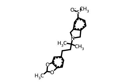 CC1Oc2ccc(CCC(C)(C)N3Cc4ccc([S+](C)[O-])cc4C3)cc2O1